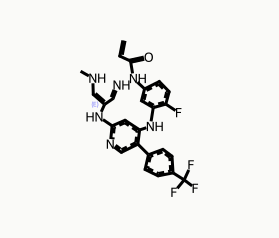 C=CC(=O)Nc1ccc(F)c(Nc2cc(N/C(C=N)=C/NC)ncc2-c2ccc(C(F)(F)F)cc2)c1